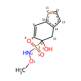 CONS(=O)(=O)C1(O)C=Cc2sccc2C1